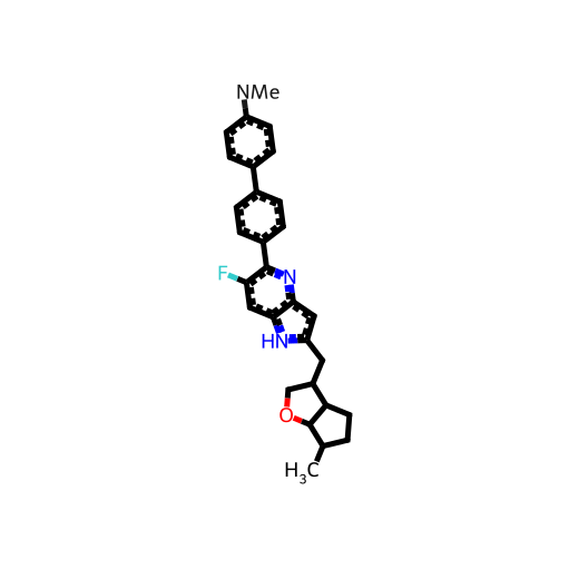 CNc1ccc(-c2ccc(-c3nc4cc(CC5COC6C(C)CCC56)[nH]c4cc3F)cc2)cc1